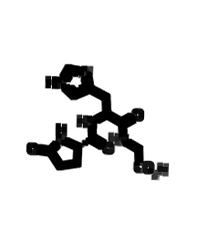 O=C(O)CNC(=O)C(Cc1c[nH]cn1)NC(=O)[C@@H]1CCC(=O)N1